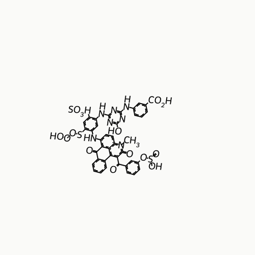 Cn1c(=O)c(C(=O)c2cccc(OS(=O)O)c2)c2c3c(c(Nc4cc(Nc5nc(O)nc(Nc6cccc(C(=O)O)c6)n5)c(S(=O)(=O)O)cc4SOOO)ccc31)C(=O)c1ccccc1-2